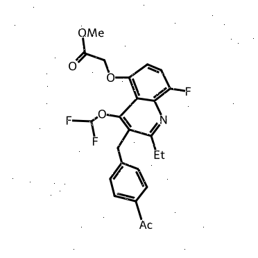 CCc1nc2c(F)ccc(OCC(=O)OC)c2c(OC(F)F)c1Cc1ccc(C(C)=O)cc1